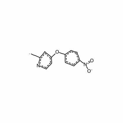 [CH2]c1cc(Oc2ccc([N+](=O)[O-])cc2)ccn1